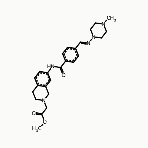 COC(=O)CN1CCc2ccc(NC(=O)c3ccc(C=NN4CCN(C)CC4)cc3)cc2C1